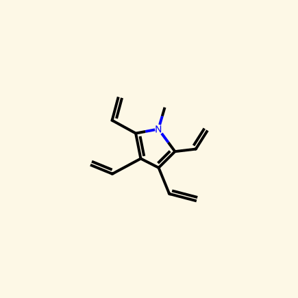 C=Cc1c(C=C)c(C=C)n(C)c1C=C